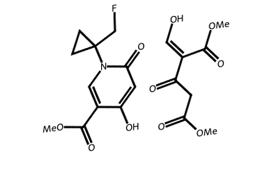 COC(=O)CC(=O)C(=CO)C(=O)OC.COC(=O)c1cn(C2(CF)CC2)c(=O)cc1O